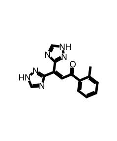 Cc1ccccc1C(=O)C=C(c1nc[nH]n1)c1nc[nH]n1